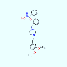 COc1ccc(CCN2CCN(Cc3cccc(-c4ccccc4C(=O)NO)c3)CC2)cc1OC